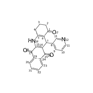 O=C1CCCC2=C1C(c1cccnc1)C1=C(N2)C(=O)c2ccccc2C1=O